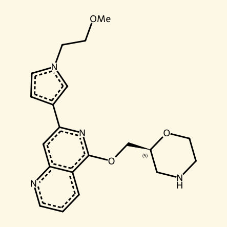 COCCn1ccc(-c2cc3ncccc3c(OC[C@@H]3CNCCO3)n2)c1